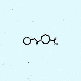 O=C(O)N1CCCN(C(=O)CC2CCCCC2)CC1